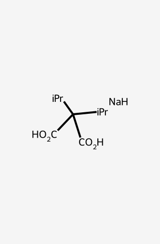 CC(C)C(C(=O)O)(C(=O)O)C(C)C.[NaH]